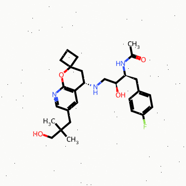 CC(=O)N[C@@H](Cc1ccc(F)cc1)[C@@H](O)CN[C@H]1CC2(CCC2)Oc2ncc(CC(C)(C)CO)cc21